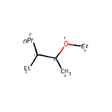 CCCC(CC)C(C)OCC